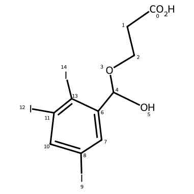 O=C(O)CCOC(O)c1cc(I)cc(I)c1I